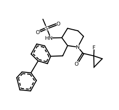 CS(=O)(=O)NC1CCCN(C(=O)C2(F)CC2)C1Cc1cccc(-c2ccccc2)c1